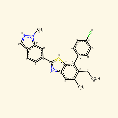 Cc1cc2nc(-c3ccc4cnn(C)c4c3)sc2c(-c2ccc(Cl)cc2)c1CC(=O)O